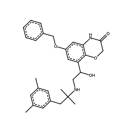 Cc1cc(C)cc(CC(C)(C)NCC(O)c2cc(OCc3ccccc3)cc3c2OCC(=O)N3)c1